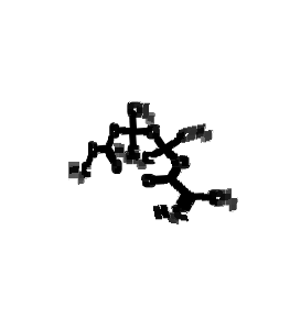 C=C(C)C(=O)OC(C)(C)OC(C)(C)OC(=O)OC